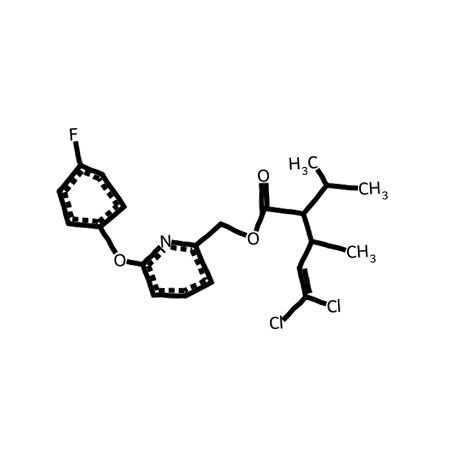 CC(C)C(C(=O)OCc1cccc(Oc2ccc(F)cc2)n1)C(C)C=C(Cl)Cl